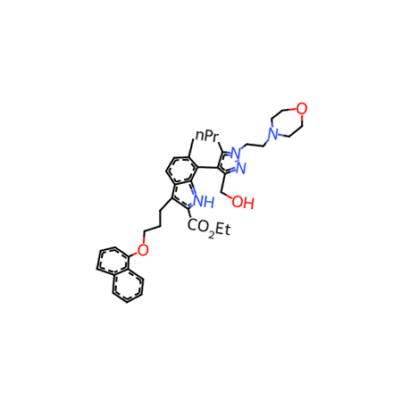 CCCc1c(-c2c(C)ccc3c(CCCOc4cccc5ccccc45)c(C(=O)OCC)[nH]c23)c(CO)nn1CCN1CCOCC1